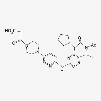 CC(=O)N1C(=O)C(C2CCCC2)c2nc(Nc3ccc(N4CCN(C(=O)CC(=O)O)CC4)cn3)ccc2C1C